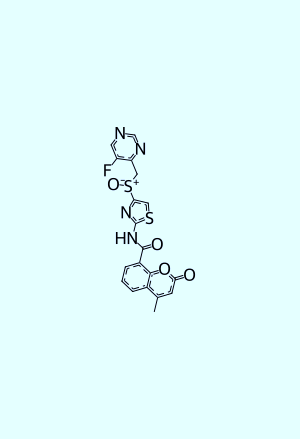 Cc1cc(=O)oc2c(C(=O)Nc3nc([S+]([O-])Cc4ncncc4F)cs3)cccc12